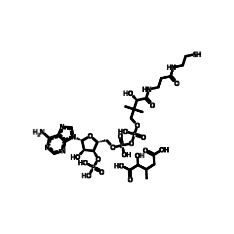 CC(C)(COP(=O)(O)OP(=O)(O)OC[C@H]1O[C@@H](n2cnc3c(N)ncnc32)[C@H](O)[C@@H]1OP(=O)(O)O)[C@@H](O)C(=O)NCCC(=O)NCCS.CC(CC(=O)O)C(O)C(=O)O